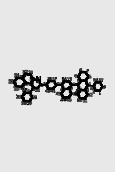 c1ccc(-c2c3ccccc3c(-c3ccc(-c4ccc(-c5cc(-c6ccccc6)c6c(ccc7ccccc76)n5)cc4)c4ccccc34)c3ccccc23)cc1